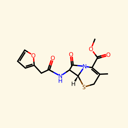 COC(=O)C1=C(C)CS[C@@H]2C(NC(=O)Cc3ccco3)C(=O)N12